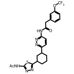 CC(=O)Nc1nnc(C2CCCC(c3ccc(NC(=O)Cc4cccc(OC(F)(F)F)c4)nn3)C2)s1